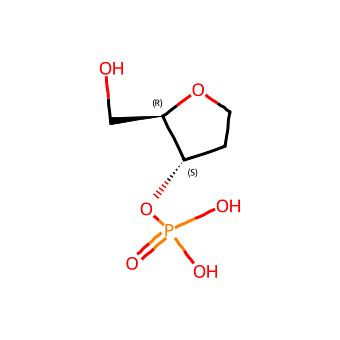 O=P(O)(O)O[C@H]1CCO[C@@H]1CO